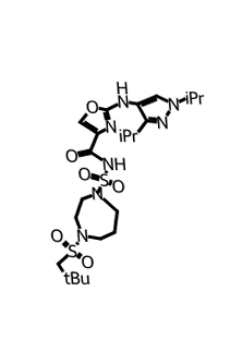 CC(C)c1nn(C(C)C)cc1Nc1nc(C(=O)NS(=O)(=O)N2CCCN(S(=O)(=O)CC(C)(C)C)CC2)co1